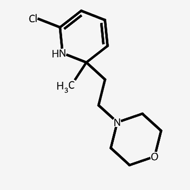 CC1(CCN2CCOCC2)C=CC=C(Cl)N1